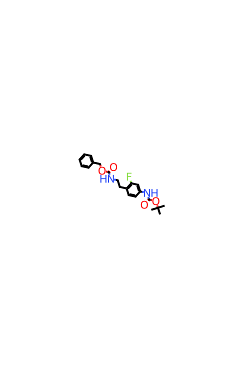 CC(C)(C)OC(=O)Nc1ccc(CCNC(=O)OCc2ccccc2)c(F)c1